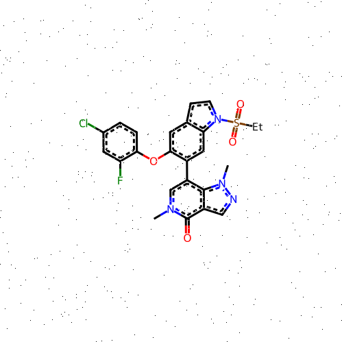 CCS(=O)(=O)n1ccc2cc(Oc3ccc(Cl)cc3F)c(-c3cn(C)c(=O)c4cnn(C)c34)cc21